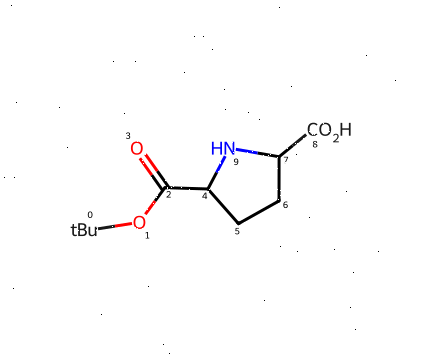 CC(C)(C)OC(=O)C1CCC(C(=O)O)N1